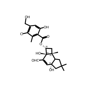 Cc1c(Cl)c(CO)cc(O)c1C(=O)O[C@@H]1C[C@]2(C)C3CC(C)(C)C[C@@]3(O)C=C(C=O)[C@]12O